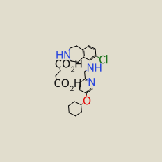 Clc1ccc2c(c1NCc1ccc(OC3CCCCC3)cn1)CCNCC2.O=C(O)CCC(=O)O